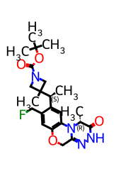 C[C@@H]1C(=O)NN=C2COc3cc(CF)c([C@H](C)C4(C)CN(C(=O)OC(C)(C)C)C4)cc3N21